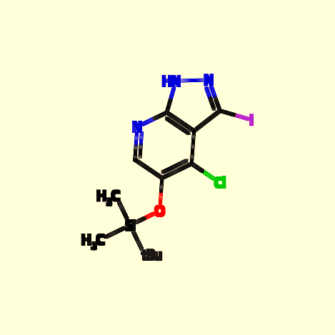 CC(C)(C)[Si](C)(C)Oc1cnc2[nH]nc(I)c2c1Cl